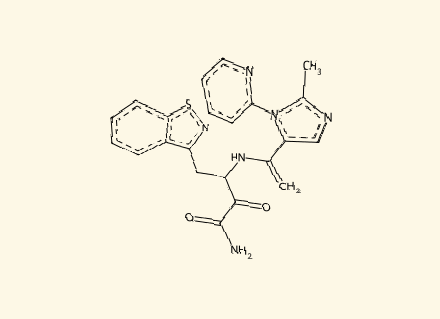 C=C(NC(Cc1nsc2ccccc12)C(=O)C(N)=O)c1cnc(C)n1-c1ccccn1